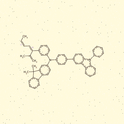 C=C(C)/C(=C\C=C/C)c1cccc(N(c2ccc(-c3ccc4c(c3)c3ccccc3n4-c3ccccc3)cc2)c2ccc3c(c2)C(C)(C)c2ccccc2-3)c1